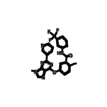 Cc1ccc(Oc2nc(-c3cccnc3)nc3c2ncn3C)cc1C(=O)Nc1cccc(C(F)(F)F)c1